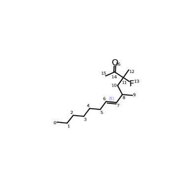 CCCCCC/C=C/C(C)CC(C)(F)C(C)=O